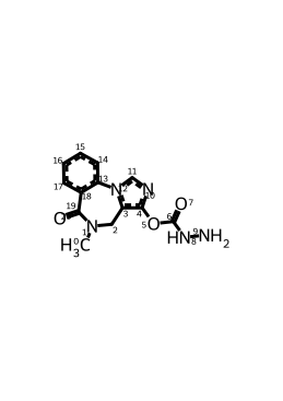 CN1Cc2c(OC(=O)NN)ncn2-c2ccccc2C1=O